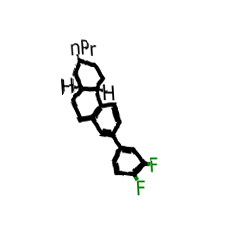 CCC[C@@H]1CC[C@@H]2c3ccc(-c4ccc(F)c(F)c4)cc3CC[C@@H]2C1